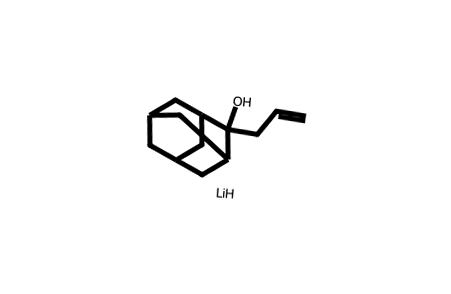 C=CCC1(O)C2CC3CC(C2)CC1C3.[LiH]